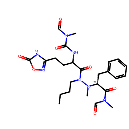 CCCCN(C(=O)C(CCc1noc(=O)[nH]1)NC(=O)N(C)C=O)N(C)[C@@H](Cc1ccccc1)C(=O)N(C)C=O